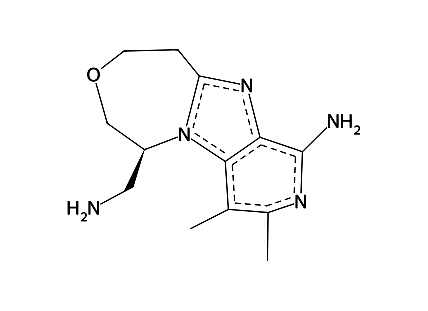 Cc1nc(N)c2nc3n(c2c1C)[C@@H](CN)COCC3